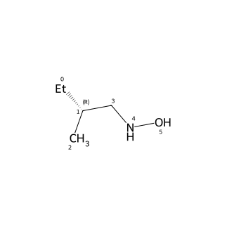 CC[C@@H](C)CNO